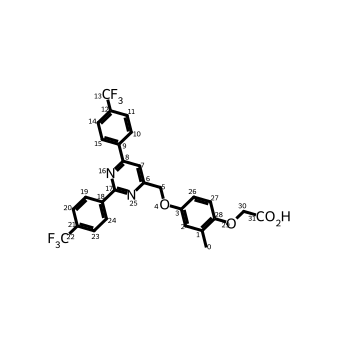 Cc1cc(OCc2cc(-c3ccc(C(F)(F)F)cc3)nc(-c3ccc(C(F)(F)F)cc3)n2)ccc1OCC(=O)O